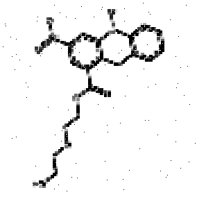 O=C(OCCOCCO)c1cc([N+](=O)[O-])cc2c1Cc1ccccc1[S+]2[O-]